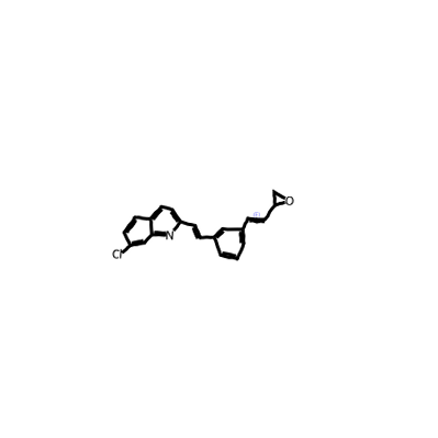 Clc1ccc2ccc(C=Cc3cccc(/C=C/C4CO4)c3)nc2c1